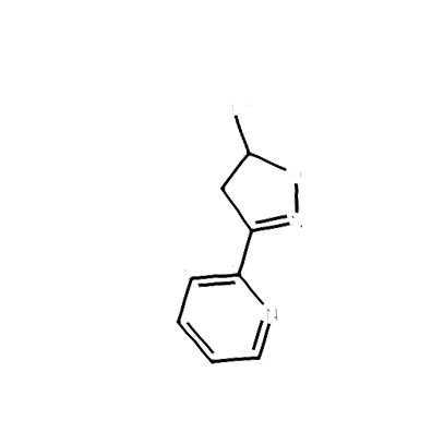 CC(C)C1CC(c2ccccn2)=NO1